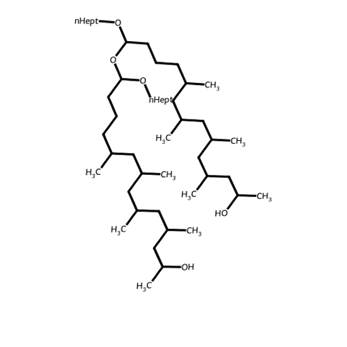 CCCCCCCOC(CCCC(C)CC(C)CC(C)CC(C)CC(C)O)OC(CCCC(C)CC(C)CC(C)CC(C)CC(C)O)OCCCCCCC